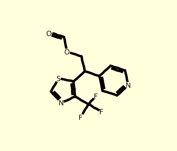 O=COCC(c1ccncc1)c1scnc1C(F)(F)F